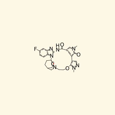 Cn1ncc2c1OCCN1CC3CCC(CC3)(C1)n1c(nc3cc(F)ccc31)NC(=O)c1cc-2c(=O)n(C)c1